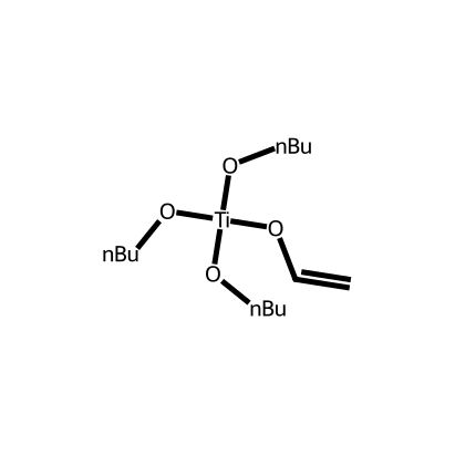 C=C[O][Ti]([O]CCCC)([O]CCCC)[O]CCCC